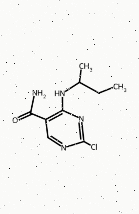 CCC(C)Nc1nc(Cl)ncc1C(N)=O